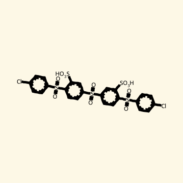 O=S(=O)(O)c1cc(S(=O)(=O)c2ccc(S(=O)(=O)c3ccc(Cl)cc3)c(S(=O)(=O)O)c2)ccc1S(=O)(=O)c1ccc(Cl)cc1